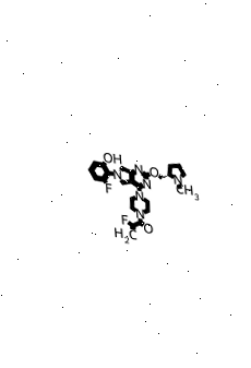 C=C(F)C(=O)N1CCN(c2nc(OC[C@@H]3CCCN3C)nc3c2CN(c2c(O)cccc2F)C3)CC1